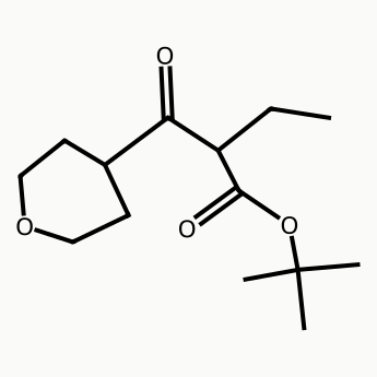 CCC(C(=O)OC(C)(C)C)C(=O)C1CCOCC1